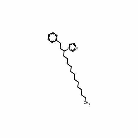 CCCCCCCCCCCCCC(CCc1ccccc1)n1ccnc1